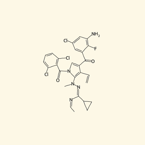 C=Cc1c(C(=O)c2cc(Cl)cc(N)c2F)cn(C(=O)c2c(Cl)cccc2Cl)c1N(C)/N=C(\N=C/C)C1CC1